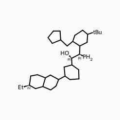 CC[C@H]1CCC2CC(C3CCCC([C@@H](O)[C@H](P)C4CC(C(C)(C)C)CCC4CC4CCCC4)C3)CCC2C1